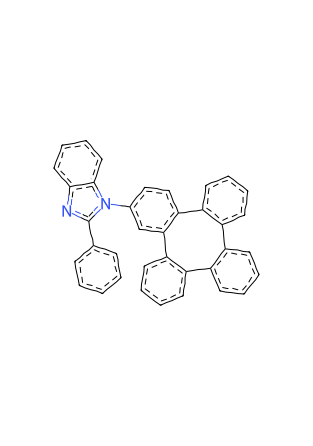 c1ccc(-c2nc3ccccc3n2-c2ccc3c(c2)-c2ccccc2-c2ccccc2-c2ccccc2-3)cc1